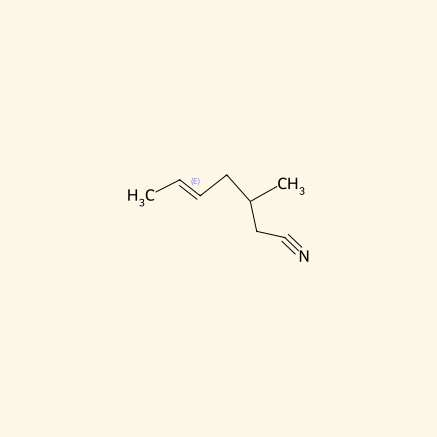 C/C=C/CC(C)CC#N